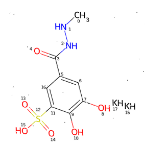 CNNC(=O)c1cc(O)c(O)c(S(=O)(=O)O)c1.[KH].[KH]